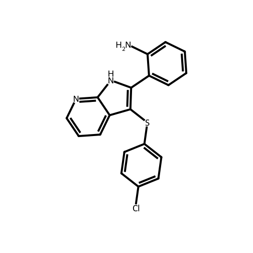 Nc1ccccc1-c1[nH]c2ncccc2c1Sc1ccc(Cl)cc1